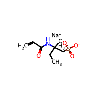 C=CC(=O)NC(C)(CC)CS(=O)(=O)[O-].[Na+]